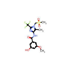 COc1cc(O)cc(C(=O)Nc2nc(C(F)(F)F)n(CS(C)(=O)=O)c2C)c1